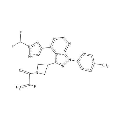 C=C(F)C(=O)N1CC(c2nn(-c3ccc(C)cc3)c3nccc(-c4cnn(C(F)F)c4)c23)C1